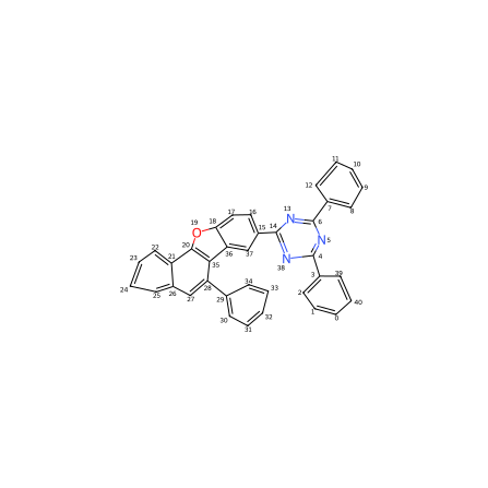 c1ccc(-c2nc(-c3ccccc3)nc(-c3ccc4oc5c6ccccc6cc(-c6ccccc6)c5c4c3)n2)cc1